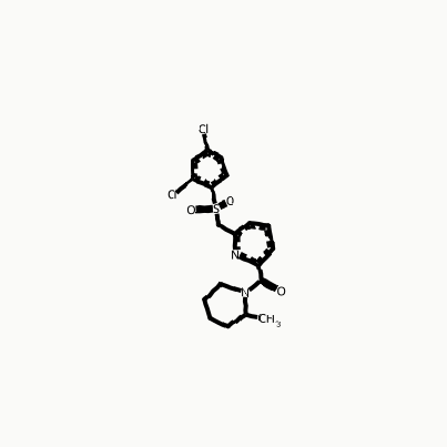 CC1CCCCN1C(=O)c1cccc(CS(=O)(=O)c2ccc(Cl)cc2Cl)n1